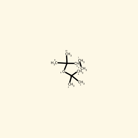 CC.CC(C)(C)OC(C)(C)C